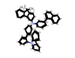 CC1(C)c2ccccc2-c2cc(N(c3ccc(-c4ccccc4-n4c5ccccc5c5ccccc54)cc3)c3cccc(-c4cccc5ccccc45)c3)ccc21